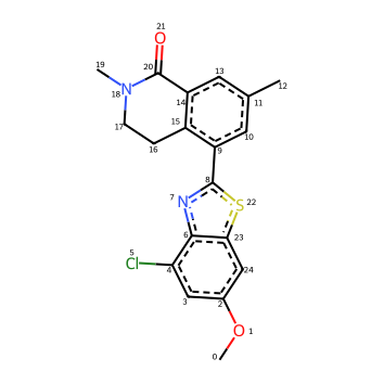 COc1cc(Cl)c2nc(-c3cc(C)cc4c3CCN(C)C4=O)sc2c1